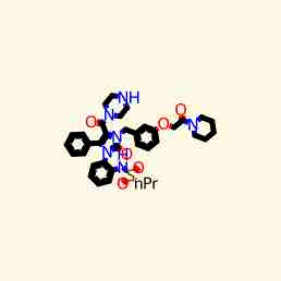 CCCS(=O)(=O)Nc1ccccc1-n1c(-c2ccccc2)c(C(=O)N2CCNCC2)n(Cc2cccc(OCC(=O)N3CCCCC3)c2)c1=O